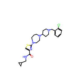 O=C(NCC1CC1)c1csc(N2CCCN(C3CCN(Cc4ccccc4Cl)CC3)CC2)n1